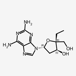 CC[C@]1(CO)O[C@@H](n2cnc3c(N)nc(N)nc32)C[C@@H]1O